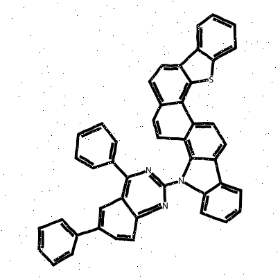 c1ccc(-c2ccc3nc(-n4c5ccccc5c5ccc6c(ccc7ccc8c9ccccc9sc8c76)c54)nc(-c4ccccc4)c3c2)cc1